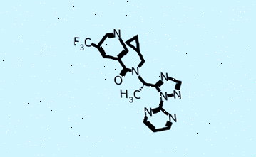 C[C@@H](c1ncnn1-c1ncccn1)N(CC1CC1)C(=O)c1cncc(C(F)(F)F)c1